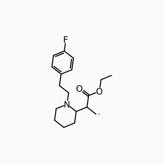 [CH2]C(C(=O)OCC)C1CCCCN1CCc1ccc(F)cc1